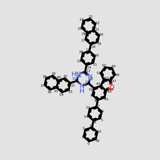 c1ccc(-c2ccc(-c3cc(C4N=C(c5ccc(-c6ccc7ccccc7c6)cc5)NC(c5ccc6ccccc6c5)N4)c4c(c3)oc3ccccc34)cc2)cc1